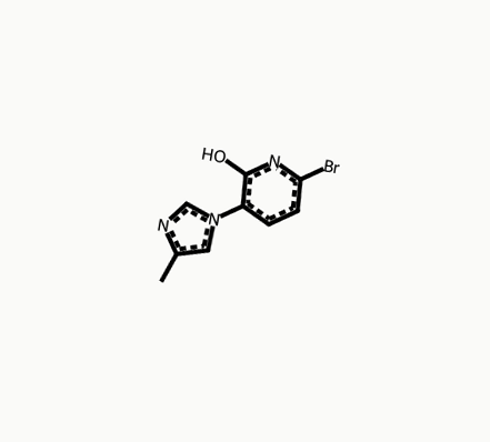 Cc1cn(-c2ccc(Br)nc2O)cn1